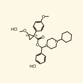 COc1ccc([C@]2(C(=O)OC(c3ccccc3)N3CCN(C4CCCCC4)CC3)C[C@H]2OC)cc1.Cl.Cl